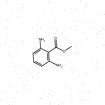 COC(=O)c1c(N)cccc1N